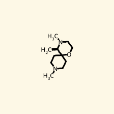 C=C1N(C)CCOC12CCN(C)CC2